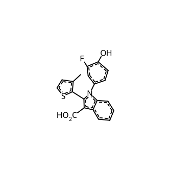 Cc1ccsc1-c1c(C(=O)O)c2ccccc2n1-c1ccc(O)c(F)c1